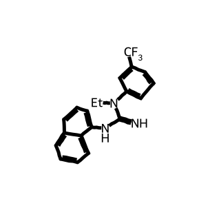 CCN(C(=N)Nc1cccc2ccccc12)c1cccc(C(F)(F)F)c1